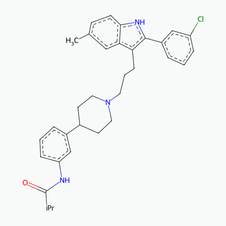 Cc1ccc2[nH]c(-c3cccc(Cl)c3)c(CCCN3CCC(c4cccc(NC(=O)C(C)C)c4)CC3)c2c1